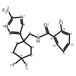 O=C(NCC1(c2cnc(C(F)(F)F)nc2)CCC(F)(F)CC1)c1ccccc1Cl